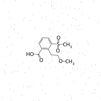 COCCc1c(C(=O)O)cccc1S(C)(=O)=O